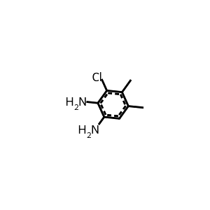 Cc1cc(N)c(N)c(Cl)c1C